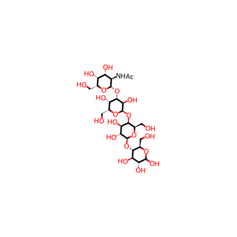 CC(=O)N[C@H]1[C@H](O[C@H]2[C@@H](O)[C@@H](CO)O[C@H](O[C@@H]3[C@H](O)[C@@H](O)[C@H](O[C@H]4[C@H](O)[C@@H](O)C(O)O[C@@H]4CO)O[C@@H]3CO)[C@@H]2O)O[C@H](CO)[C@H](O)[C@@H]1O